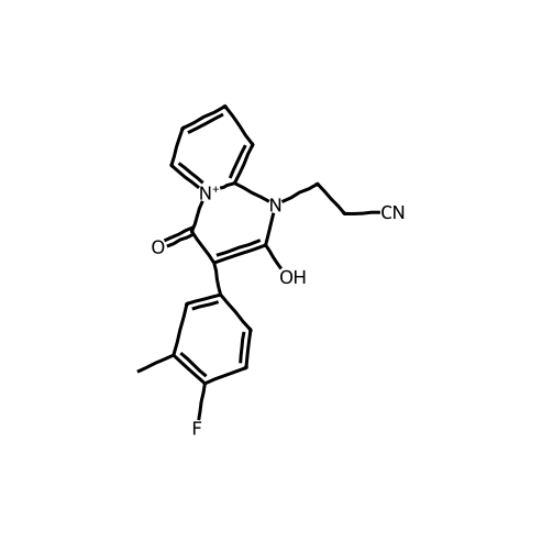 Cc1cc(-c2c(O)n(CCC#N)c3cccc[n+]3c2=O)ccc1F